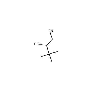 CC(C)(C)[C@H](O)CC#N